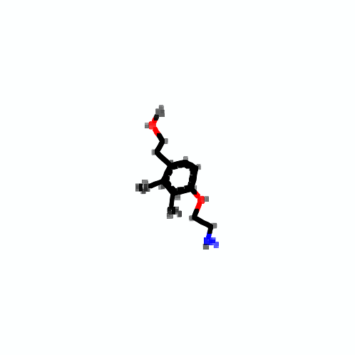 CCOCCc1ccc(OCCN)c(C)c1C